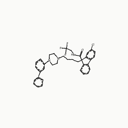 O=C(NCC(F)(F)F)C1(CCCCN2CCN(c3cccc(-c4ccccc4)c3)CC2)c2ccccc2-c2ccc(Cl)cc21